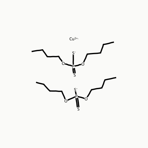 CCCCOP(=S)([S-])OCCCC.CCCCOP(=S)([S-])OCCCC.[Cu+2]